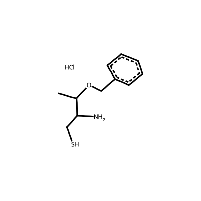 CC(OCc1ccccc1)C(N)CS.Cl